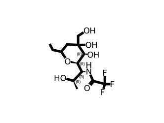 CCC1CC(O)(CO)[C@H](O)[C@@H]([C@H](NC(=O)C(F)(F)F)[C@@H](C)O)O1